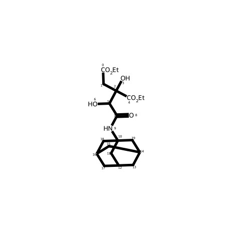 CCOC(=O)CC(O)(C(=O)OCC)C(O)C(=O)NC12CC3CC(CC(C3)C1)C2